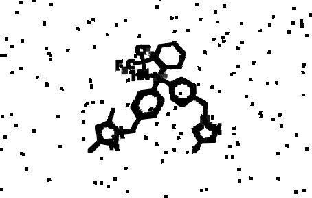 Cc1cnn(Cc2ccc([N+]3(c4ccc(Cn5nc(C)cc5C)cc4)NC(C(F)(F)F)(C(F)(F)F)C4=C3CCCC4)cc2)c1